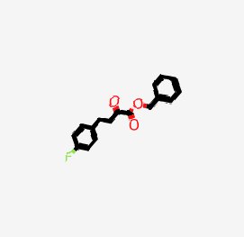 O=C(CCc1ccc(F)cc1)C(=O)OCc1ccccc1